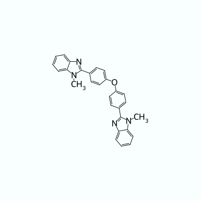 Cn1c(-c2ccc(Oc3ccc(-c4nc5ccccc5n4C)cc3)cc2)nc2ccccc21